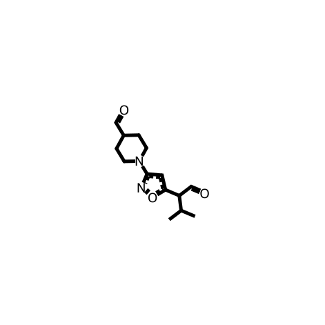 CC(C)C(C=O)c1cc(N2CCC(C=O)CC2)no1